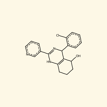 OC1CCCC2=C1C(c1ccccc1Cl)N=C(c1cccnc1)N2